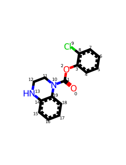 O=C(Oc1ccccc1Cl)N1CCNc2ccccc21